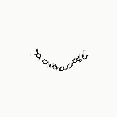 C=C1CCC(N2C(=O)c3ccc(N4CCN(CC5CCN(c6cnc(C(=O)N[C@H]7CC[C@H](Oc8ccc(C#N)c(Cl)c8)CC7)cn6)CC5)CC4)cc3C2=O)C(=O)N1